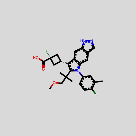 COCC(C)(C)c1c([C@H]2C[C@](F)(C(=O)O)C2)c2cc3[nH]ncc3cc2n1-c1ccc(F)c(C)c1